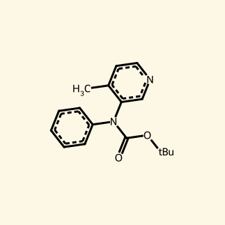 Cc1ccncc1N(C(=O)OC(C)(C)C)c1ccccc1